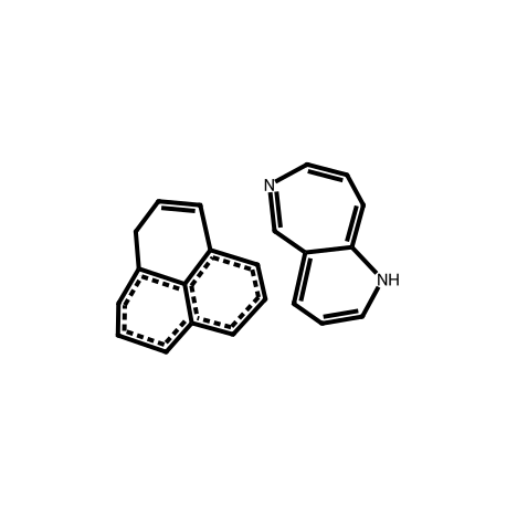 C1=CN=CC2=CC=CNC2=C1.C1=Cc2cccc3cccc(c23)C1